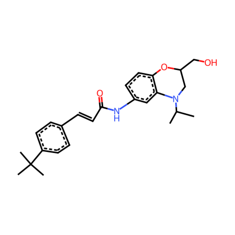 CC(C)N1CC(CO)Oc2ccc(NC(=O)/C=C/c3ccc(C(C)(C)C)cc3)cc21